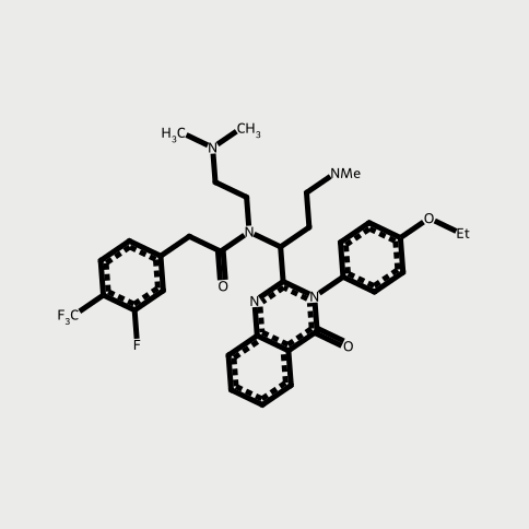 CCOc1ccc(-n2c(C(CCNC)N(CCN(C)C)C(=O)Cc3ccc(C(F)(F)F)c(F)c3)nc3ccccc3c2=O)cc1